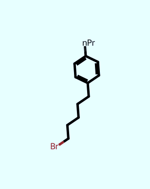 CCCc1ccc(CCCCCBr)cc1